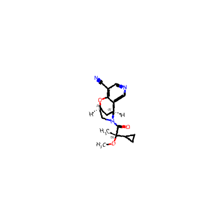 CO[C@](C)(C(=O)N1C[C@@H]2C[C@H]1c1cncc(C#N)c1O2)C1CC1